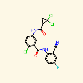 N#Cc1cc(F)ccc1NC(=O)c1cc(NC(=O)C2CC2(Cl)Cl)ccc1Cl